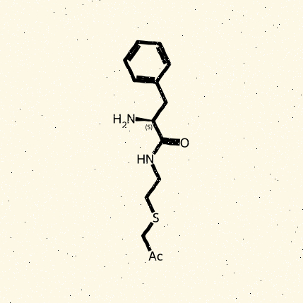 CC(=O)CSCCNC(=O)[C@@H](N)Cc1ccccc1